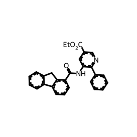 CCOC(=O)c1cnc(-c2ccccc2)c(NC(=O)c2cccc3c2Cc2ccccc2-3)c1